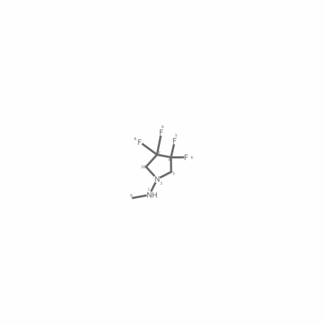 CNN1CC(F)(F)C(F)(F)C1